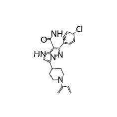 C=CC(=C)N1CCC(c2c[nH]c3c(C(N)=O)c(-c4ccc(Cl)cc4)nn23)CC1